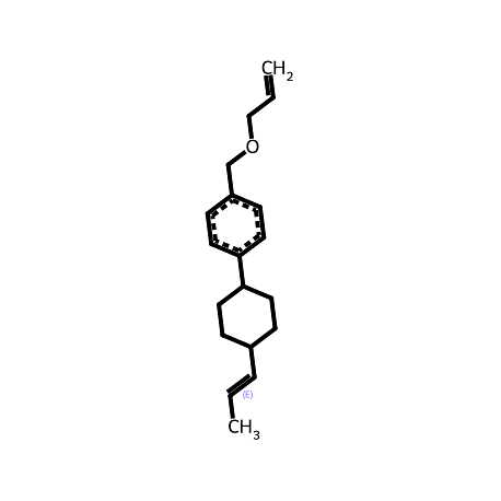 C=CCOCc1ccc(C2CCC(/C=C/C)CC2)cc1